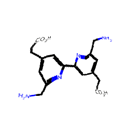 NCc1cc(CC(=O)O)cc(-c2cc(CC(=O)O)cc(CN)n2)n1